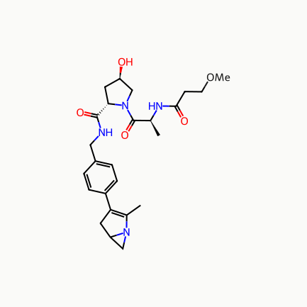 COCCC(=O)N[C@@H](C)C(=O)N1C[C@H](O)C[C@H]1C(=O)NCc1ccc(C2=C(C)N3CC3C2)cc1